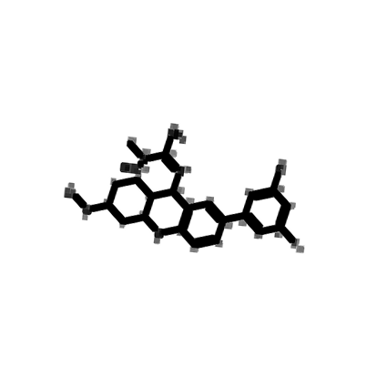 CCOC1CCC2C(C1)Oc1ccc(-c3cc(F)cc(Cl)c3)cc1C2/N=C(/N)N(C)C=O